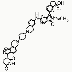 C=CCn1c(=O)c2cnc(Nc3ccc4c(c3)CCN([C@H]3CC[C@@H](N5CCc6c(ccc7c(C8CCC(=O)NC8=O)noc67)C5)CC3)C4)nc2n1-c1ccc2c(n1)[C@@](O)(CC)CC2